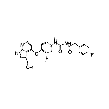 O=C(Cc1ccc(F)cc1)NC(=O)Nc1ccc(Oc2ccnc3[nH]cc(CO)c23)c(F)c1